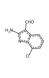 Nc1nn2c(Cl)cccc2c1C=O